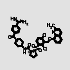 Cc1ccc2cccc(OCc3c(Cl)ccc(S(=O)(=O)N4CCC[C@H]4C(=O)NC4CCN(C(=O)c5ccc(C(=N)N)cc5)CC4)c3Cl)c2n1